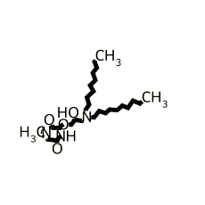 CCCCCCCCCCN(CCCCCCCCCC)CC(O)COC1NC(=O)CN(C)C1=O